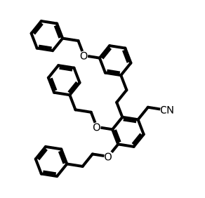 N#CCc1ccc(OCCc2ccccc2)c(OCCc2ccccc2)c1CCc1cccc(OCc2ccccc2)c1